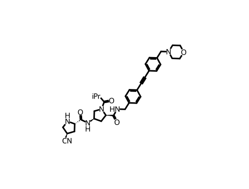 CC(C)C(=O)N1C[C@H](NC(=O)[C@@H]2C[C@@H](C#N)CN2)C[C@@H]1C(=O)NCc1ccc(C#Cc2ccc(CN3CCOCC3)cc2)cc1